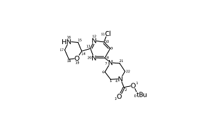 CC(C)(C)OC(=O)N1CCN(c2cc(Cl)nc(C3CNCCO3)n2)CC1